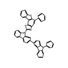 c1ccc(-c2cc3nc(-n4c5ccccc5c5ccc(-c6ccc7c(c6)c6ccccc6n7-c6ccccc6)cc54)sc3c3c2sc2ccccc23)cc1